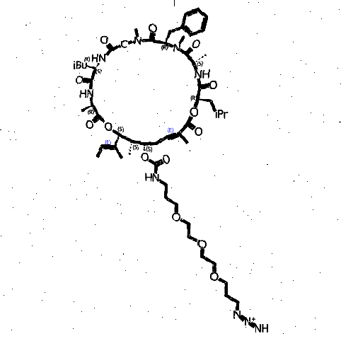 C/C=C(\C)[C@H]1OC(=O)[C@@H](C)NC(=O)[C@H]([C@H](C)CC)NC(=O)CN(C)C(=O)[C@@H](Cc2ccccc2)N(C)C(=O)[C@H](C)NC(=O)[C@@H](CC(C)C)OC(=O)/C(C)=C/C[C@H](OC(=O)NCCCOCCOCCOCCCN=[N+]=N)[C@@H]1C